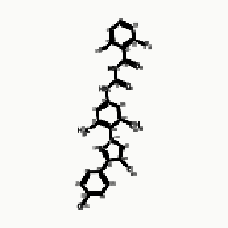 Cc1cc(NC(=O)NC(=O)c2c(F)cccc2F)cc(C)c1-n1cc(Cl)c(-c2ccc(Cl)cc2)n1